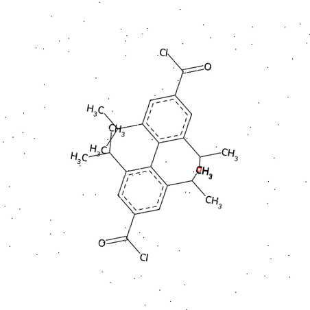 CC(C)c1cc(C(=O)Cl)cc(C(C)C)c1-c1c(C(C)C)cc(C(=O)Cl)cc1C(C)C